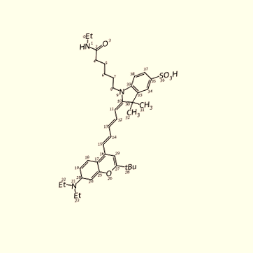 CCNC(=O)CCCCCN1/C(=C/C=C/C=C/C2=C3C=CC(N(CC)CC)C=C3OC(C(C)(C)C)=C2)C(C)(C)c2cc(S(=O)(=O)O)ccc21